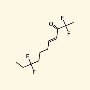 CCC(F)(F)CCC/C=C/C(=O)C(C)(F)F